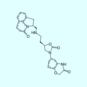 O=C1COc2ccc(N3C[C@@H](CCNC[C@@H]4Cc5cccc6ccc(=O)n4c56)OC3=O)cc2N1